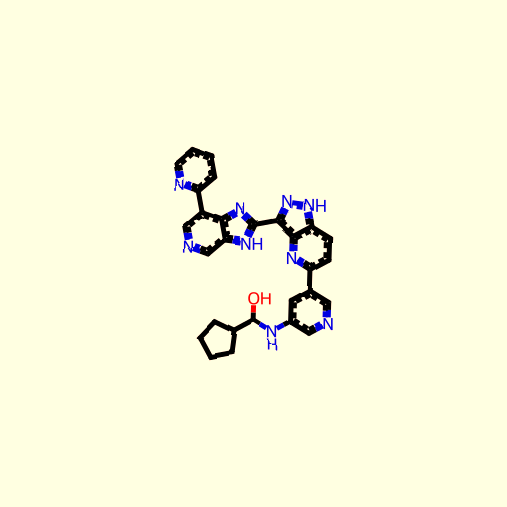 OC(Nc1cncc(-c2ccc3[nH]nc(-c4nc5c(-c6ccccn6)cncc5[nH]4)c3n2)c1)C1CCCC1